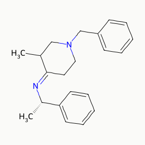 CC1CN(Cc2ccccc2)CC/C1=N\[C@@H](C)c1ccccc1